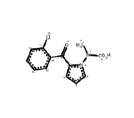 CN(C(=O)O)n1cccc1C(=O)c1ccccc1Cl